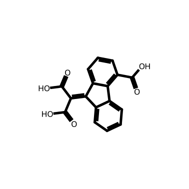 O=C(O)C(C(=O)O)=C1c2ccccc2-c2c(C(=O)O)cccc21